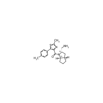 Cc1ccc(-c2sc(C)nc2C(=O)N2[C@H](CN)C[C@@H]3CCC[C@@H]32)cc1